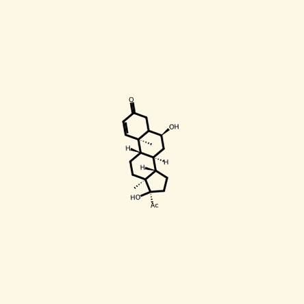 CC(=O)[C@@]1(O)CC[C@H]2[C@@H]3C[C@H](O)C4CC(=O)C=C[C@]4(C)[C@H]3CC[C@@]21C